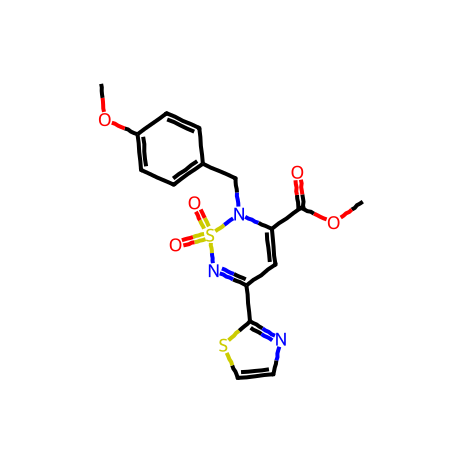 COC(=O)C1=CC(c2nccs2)=NS(=O)(=O)N1Cc1ccc(OC)cc1